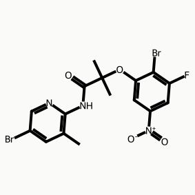 Cc1cc(Br)cnc1NC(=O)C(C)(C)Oc1cc([N+](=O)[O-])cc(F)c1Br